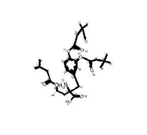 CC(C)CC(=O)O[C@@H](C)CC(N)(Cc1ccc(OC(=O)CC(C)(C)C)c(OC(=O)CC(C)(C)C)c1)C(=O)O